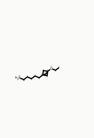 CCOC12CC(CCCCCN)(C1)C2